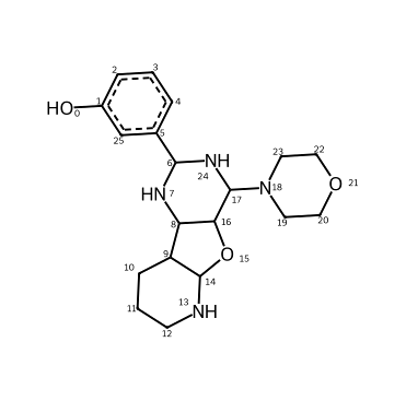 Oc1cccc(C2NC3C4CCCNC4OC3C(N3CCOCC3)N2)c1